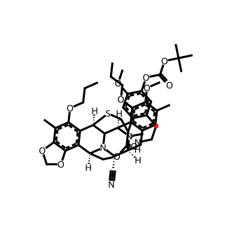 CCCOc1c(C)c2c(c3c1[C@H]1SC[C@]4(NCCc5cc(OC(=O)OC(C)(C)C)c(OC)cc54)C(=O)OC[C@@H]3N3C1[C@H]1c4c(cc(C)c(OC)c4OCCC)C[C@@H]([C@@H]3C#N)N1C)OCO2